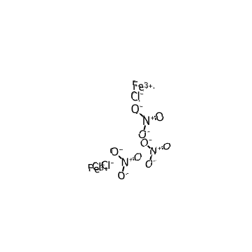 O=[N+]([O-])[O-].O=[N+]([O-])[O-].O=[N+]([O-])[O-].[Cl-].[Cl-].[Cl-].[Fe+3].[Fe+3]